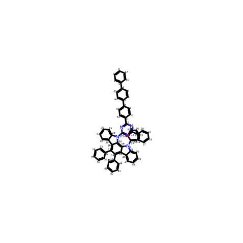 c1ccc(-c2ccc(-c3ccc(-c4nc(-c5ccccc5)nc(-n5c6ccccc6c6c(-c7ccccc7)c(-c7ccccc7)c7c8ccccc8n(-c8ccccc8)c7c65)n4)cc3)cc2)cc1